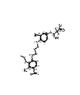 CCCc1c(OCCCSc2ccc(CC(O)C(C)(C)C(=O)O)cc2Br)ccc(C(C)=O)c1O